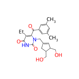 CCc1c(C(=O)c2cc(C)cc(C)c2)n(CC2=CC(CO)C(CO)C2)c(=O)[nH]c1=O